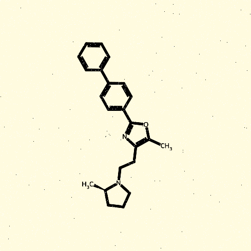 Cc1oc(-c2ccc(-c3ccccc3)cc2)nc1CCN1CCC[C@H]1C